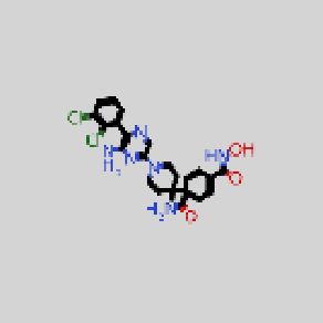 CC1(C2(C(N)=O)C=CC(C(=O)NO)=CC2)CCN(c2cnc(-c3cccc(Cl)c3Cl)c(N)n2)CC1